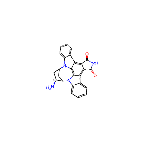 N[C@H]1CC2CC1n1c3ccccc3c3c4c(c5c6ccccc6n2c5c31)C(=O)NC4=O